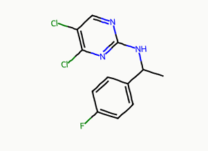 CC(Nc1ncc(Cl)c(Cl)n1)c1ccc(F)cc1